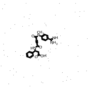 CN(C(=O)C#CC(=O)NC(CC(=O)O)c1ccccc1)c1ccc(C(=N)N)cc1